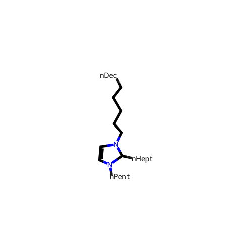 CCCCCCCCCCCCCCCN1C=CN(CCCCC)C1CCCCCCC